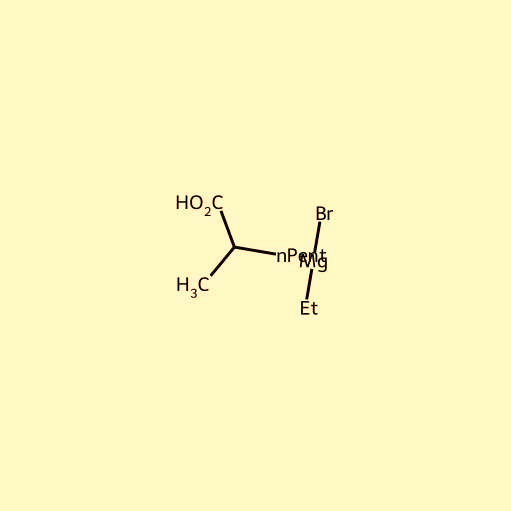 CCCCCC(C)C(=O)O.C[CH2][Mg][Br]